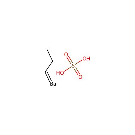 CC[CH]=[Ba].O=S(=O)(O)O